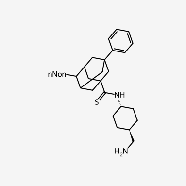 CCCCCCCCCC1C2CC3(C(=S)N[C@H]4CC[C@H](CN)CC4)CC1CC(c1ccccc1)(C2)C3